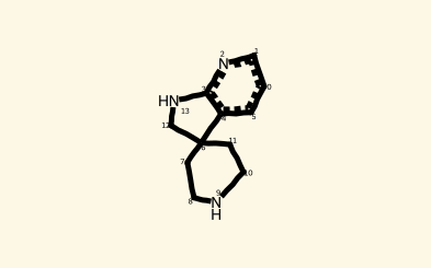 c1cnc2c(c1)C1(CCNCC1)CN2